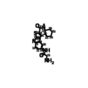 CN(C(=O)c1cn2c(nc3ccc(NC(=O)CN)cc32)s1)C1CCCCC1